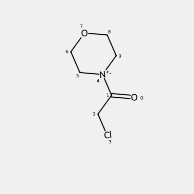 O=C(CCl)[N+]1CCOCC1